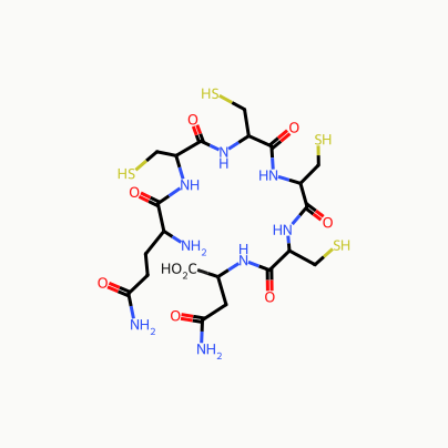 NC(=O)CCC(N)C(=O)NC(CS)C(=O)NC(CS)C(=O)NC(CS)C(=O)NC(CS)C(=O)NC(CC(N)=O)C(=O)O